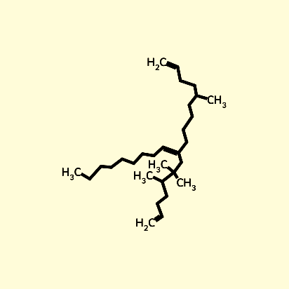 C=CCCC(C)CCCCC(=CCCCCCCCC)CC(C)(C)C(C)CCC=C